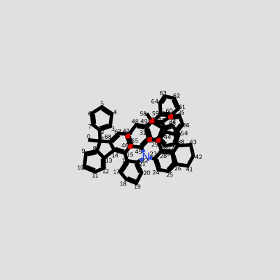 CC1(c2ccccc2)c2ccccc2-c2c(-c3ccccc3N(c3ccccc3-c3cccc4cccc(C5CCCCC5)c34)c3cccc4c3-c3ccccc3C4(C)c3ccccc3)cccc21